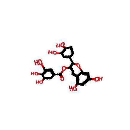 O=C(OC1=Cc2c(O)cc(O)cc2OC1c1ccc(O)c(O)c1)c1cc(O)c(O)c(O)c1